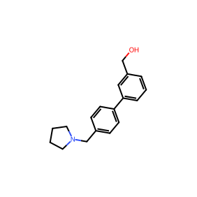 OCc1cccc(-c2ccc(CN3CCCC3)cc2)c1